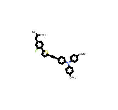 COc1ccc(N(c2ccc(C#Cc3ccc(-c4ccc(C=C(C#N)C(=O)O)cc4F)s3)cc2)c2ccc(OC)cc2)cc1